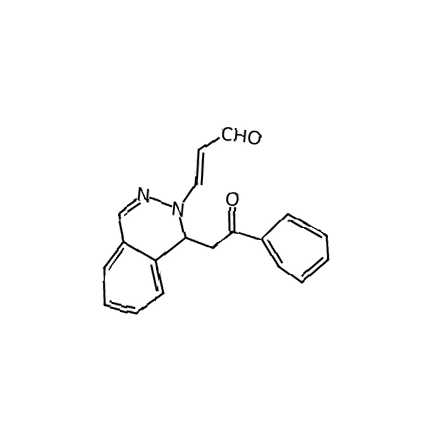 O=CC=CN1N=Cc2ccccc2C1CC(=O)c1ccccc1